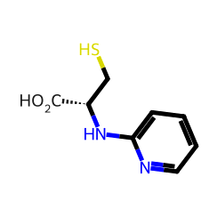 O=C(O)[C@H](CS)Nc1ccccn1